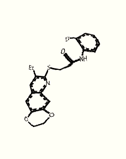 CCc1ccccc1NC(=O)CSc1nc2cc3c(cc2cc1CC)OCCO3